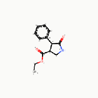 CCOC(=O)C1CNC(=O)C1c1ccccc1